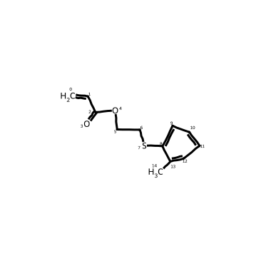 C=CC(=O)OCCSc1ccccc1C